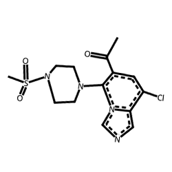 CC(=O)c1cc(Cl)c2cncn2c1N1CCN(S(C)(=O)=O)CC1